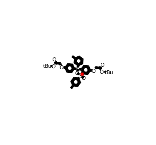 Cc1ccc(S(=O)(=O)OS(c2ccc(OCC(=O)OC(C)(C)C)cc2)(c2ccc(OCC(=O)OC(C)(C)C)cc2)c2cccc(C)c2)cc1